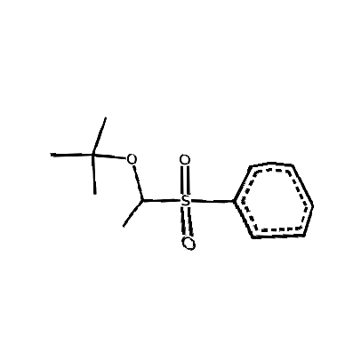 CC(OC(C)(C)C)S(=O)(=O)c1ccccc1